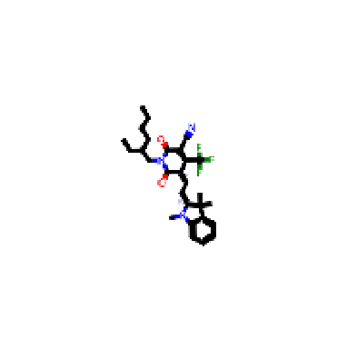 CCCCC(CC)CN1C(=O)C(C#N)=C(C(F)(F)F)/C(=C/C=C2/N(C)c3ccccc3C2(C)C)C1=O